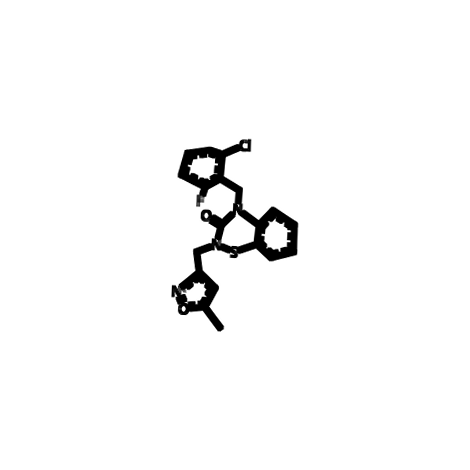 Cc1cc(CN2Sc3ccccc3N(Cc3c(F)cccc3Cl)C2=O)no1